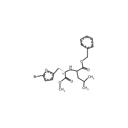 COC(=O)[C@H](Cc1ccc(Br)o1)NC(CC(C)C)C(=O)OCc1ccccc1